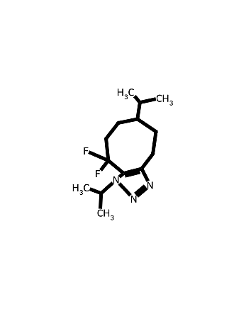 CC(C)C1CCc2nnn(C(C)C)c2C(F)(F)CC1